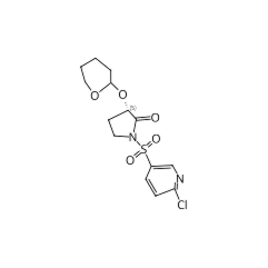 O=C1[C@@H](OC2CCCCO2)CCN1S(=O)(=O)c1ccc(Cl)nc1